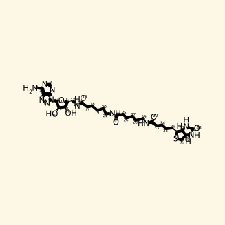 Nc1ncnc2c1nnn2C1O[C@H](CNC(=O)CCCCCNC(=O)CCCCCNC(=O)CCCC[C@@H]2SC[C@@H]3NC(=O)N[C@@H]32)[C@@H](O)[C@H]1O